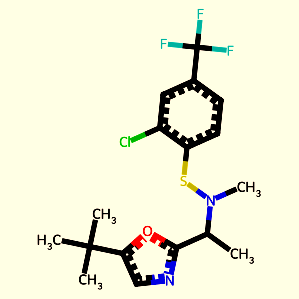 CC(c1ncc(C(C)(C)C)o1)N(C)Sc1ccc(C(F)(F)F)cc1Cl